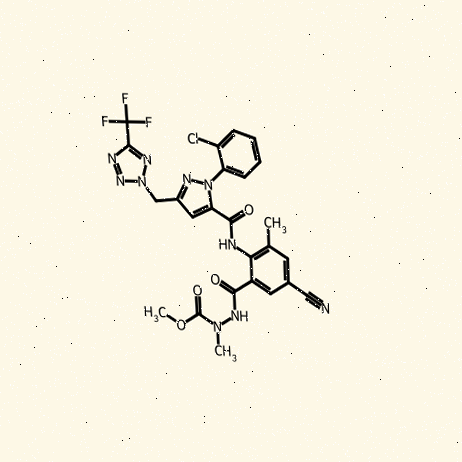 COC(=O)N(C)NC(=O)c1cc(C#N)cc(C)c1NC(=O)c1cc(Cn2nnc(C(F)(F)F)n2)nn1-c1ccccc1Cl